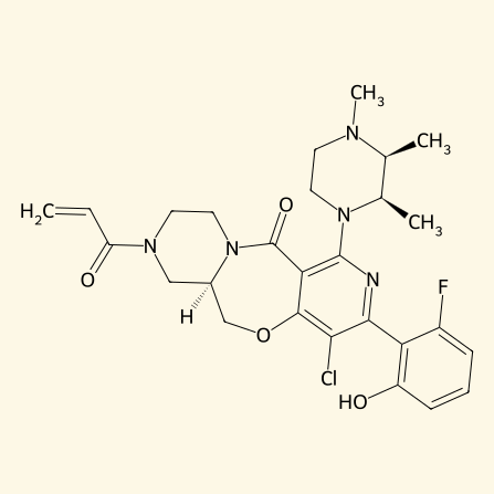 C=CC(=O)N1CCN2C(=O)c3c(N4CCN(C)[C@@H](C)[C@H]4C)nc(-c4c(O)cccc4F)c(Cl)c3OC[C@H]2C1